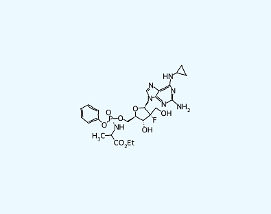 CCOC(=O)C(C)N[P@](=O)(OC[C@H]1O[C@@H](n2cnc3c(NC4CC4)nc(N)nc32)[C@@](F)(CO)[C@@H]1O)Oc1ccccc1